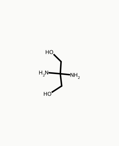 NC(N)(CO)CO